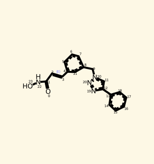 O=C(/C=C/c1cccc(Cn2cc(-c3ccccc3)nn2)c1)NO